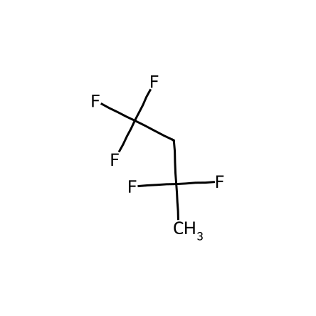 CC(F)(F)CC(F)(F)F